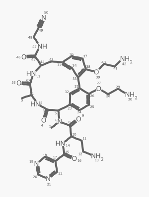 CC1NC(=O)C(N(C)C(=O)C(CCN)NC(=O)c2cncnc2)c2ccc(OCCN)c(c2)-c2cc(ccc2OCCN)CC(C(=O)NCC#N)NC1=O